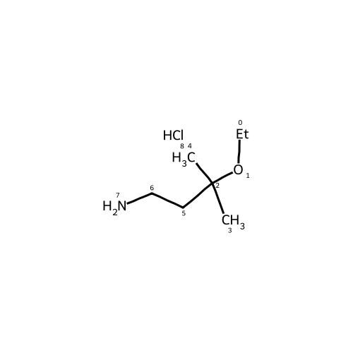 CCOC(C)(C)CCN.Cl